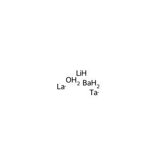 O.[BaH2].[La].[LiH].[Ta]